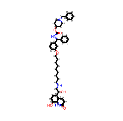 O=C(NC(c1ccccc1)c1cccc(OCCCCCCCCCNC[C@@H](O)c2ccc(O)c3[nH]c(=O)ccc23)c1)OC1CCN(Cc2ccccc2)CC1